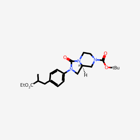 CCOC(=O)C(C)Cc1ccc(N2C[C@@H]3CN(C(=O)OC(C)(C)C)CCN3C2=O)cc1